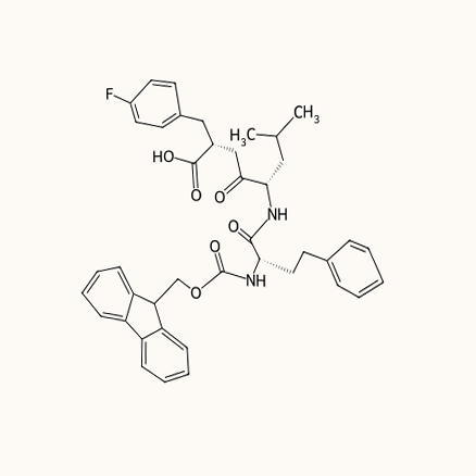 CC(C)C[C@H](NC(=O)[C@H](CCc1ccccc1)NC(=O)OCC1c2ccccc2-c2ccccc21)C(=O)C[C@@H](Cc1ccc(F)cc1)C(=O)O